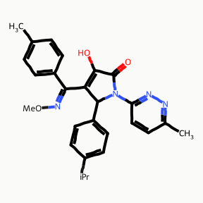 CON=C(C1=C(O)C(=O)N(c2ccc(C)nn2)C1c1ccc(C(C)C)cc1)c1ccc(C)cc1